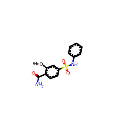 COc1cc(S(=O)(=O)Nc2ccccc2)ccc1C(N)=O